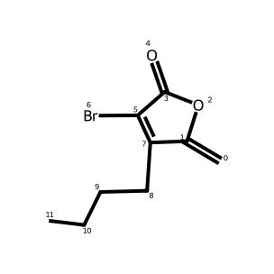 C=C1OC(=O)C(Br)=C1CCCC